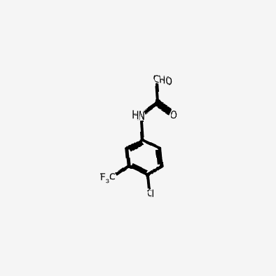 O=CC(=O)Nc1ccc(Cl)c(C(F)(F)F)c1